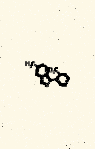 Cc1ccc2c(-c3ccccc3C(=O)O)occ2c1